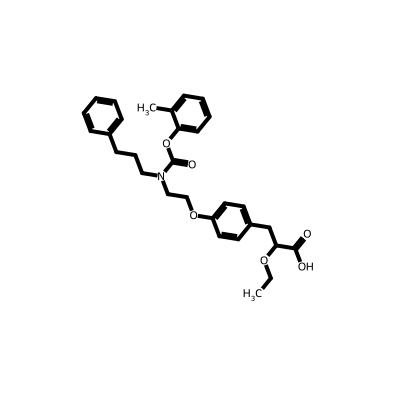 CCOC(Cc1ccc(OCCN(CCCc2ccccc2)C(=O)Oc2ccccc2C)cc1)C(=O)O